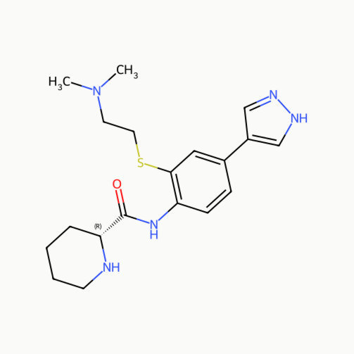 CN(C)CCSc1cc(-c2cn[nH]c2)ccc1NC(=O)[C@H]1CCCCN1